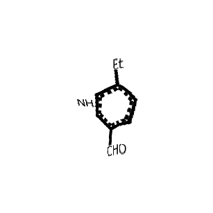 CCc1ccc(C=O)cc1.N